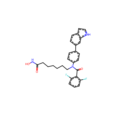 O=C(CCCCCCN(C(=O)c1c(F)cccc1F)c1ccc(-c2ccc3cc[nH]c3c2)cc1)NO